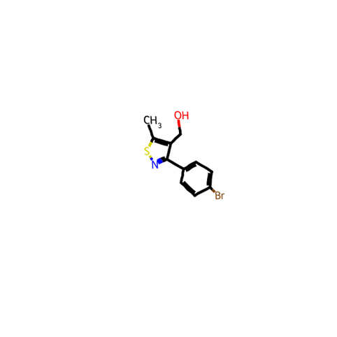 Cc1snc(-c2ccc(Br)cc2)c1CO